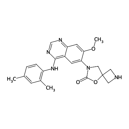 COc1cc2ncnc(Nc3ccc(C)cc3C)c2cc1N1CC2(CNC2)OC1=O